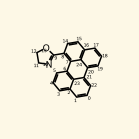 c1cc2cccc3c4c(C5=NCCO5)ccc5cccc(c(c1)c23)c54